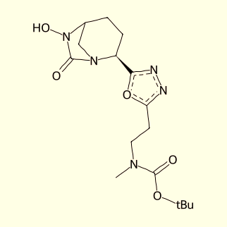 CN(CCc1nnc([C@@H]2CCC3CN2C(=O)N3O)o1)C(=O)OC(C)(C)C